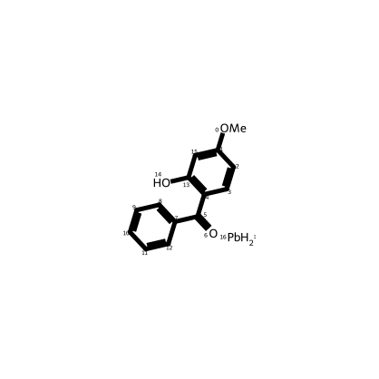 COc1ccc(C(=O)c2ccccc2)c(O)c1.[PbH2]